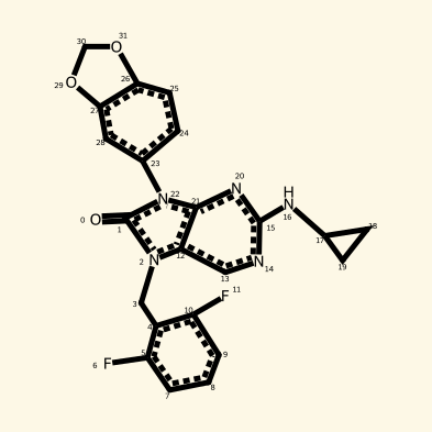 O=c1n(Cc2c(F)cccc2F)c2cnc(NC3CC3)nc2n1-c1ccc2c(c1)OCO2